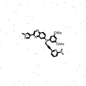 COc1cc(OC)cc(N(CC#Cc2cccc(N(C)C)n2)c2ccc3ncc(-c4cnn(C)c4)nc3c2)c1